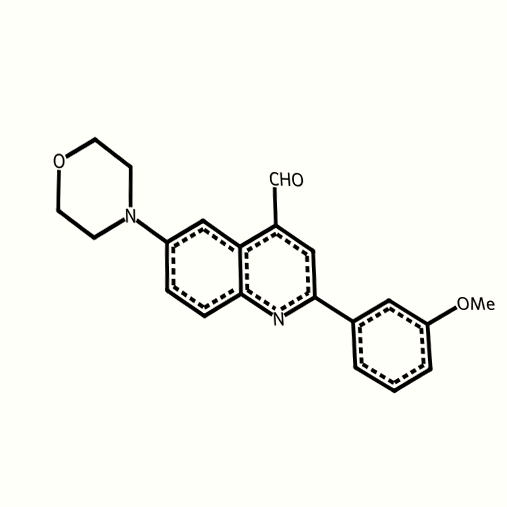 COc1cccc(-c2cc(C=O)c3cc(N4CCOCC4)ccc3n2)c1